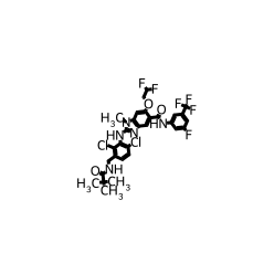 Cn1c(Nc2c(Cl)ccc(CNC(=O)C(C)(C)C)c2Cl)nc2cc(C(=O)Nc3cc(F)cc(C(F)(F)F)c3)c(OCC(F)F)cc21